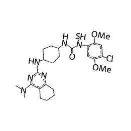 COc1cc(N(S)C(=O)NC2CCC(Nc3nc4c(c(N(C)C)n3)CCCC4)CC2)c(OC)cc1Cl